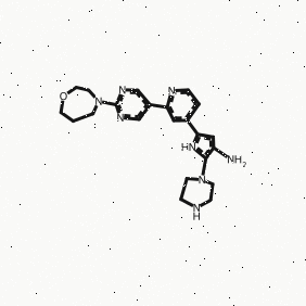 Nc1cc(-c2ccnc(-c3cnc(N4CCCOCC4)nc3)c2)[nH]c1N1CCNCC1